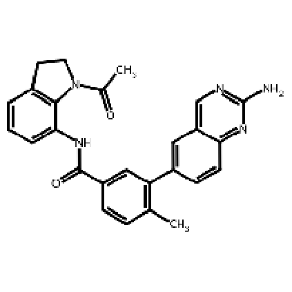 CC(=O)N1CCc2cccc(NC(=O)c3ccc(C)c(-c4ccc5nc(N)ncc5c4)c3)c21